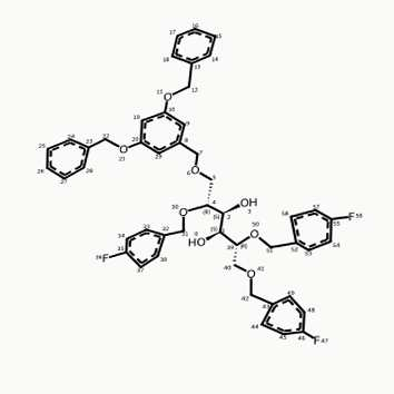 O[C@@H]([C@H](O)[C@@H](COCc1cc(OCc2ccccc2)cc(OCc2ccccc2)c1)OCc1ccc(F)cc1)[C@@H](COCc1ccc(F)cc1)OCc1ccc(F)cc1